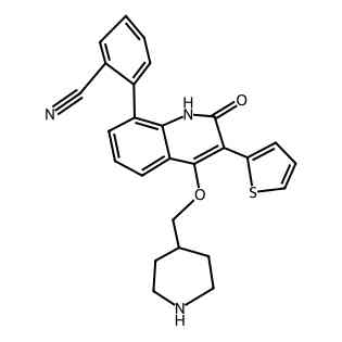 N#Cc1ccccc1-c1cccc2c(OCC3CCNCC3)c(-c3cccs3)c(=O)[nH]c12